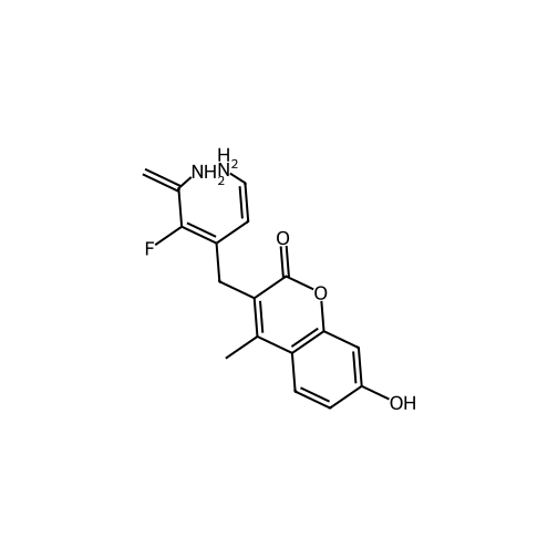 C=C(N)/C(F)=C(\C=C/N)Cc1c(C)c2ccc(O)cc2oc1=O